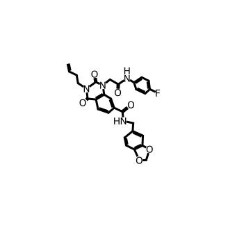 C=CCCn1c(=O)c2ccc(C(=O)NCc3ccc4c(c3)OCO4)cc2n(CC(=O)Nc2ccc(F)cc2)c1=O